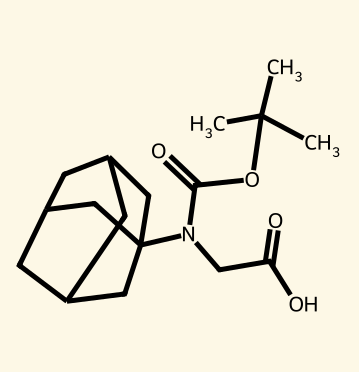 CC(C)(C)OC(=O)N(CC(=O)O)C12CC3CC(CC(C3)C1)C2